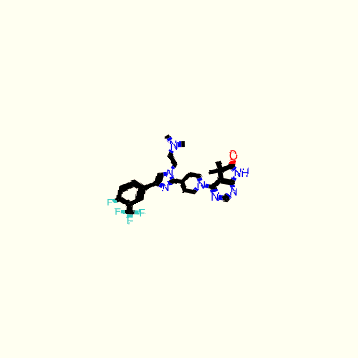 CN(C)CCn1cc(-c2ccc(F)c(C(F)(F)F)c2)nc1C1CCN(c2ncnc3c2C(C)(C)C(=O)N3)CC1